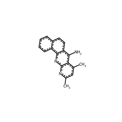 Cc1cc(C)c2c(N)c3ccc4ccccc4c3nc2n1